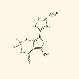 CCOC(=O)c1csc(-c2sc(SC)c3c2CC(C)(C)CC3=O)n1